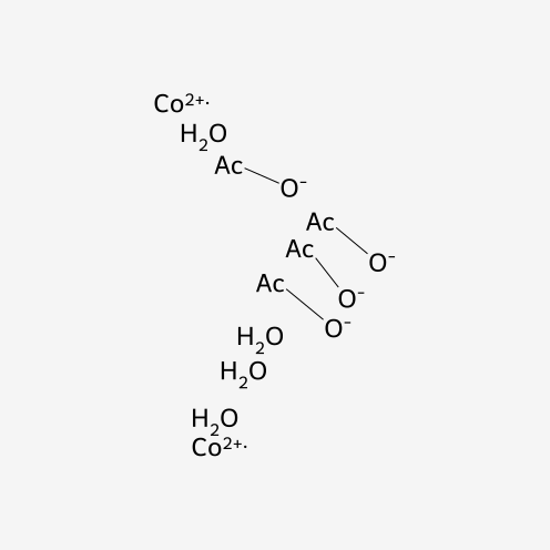 CC(=O)[O-].CC(=O)[O-].CC(=O)[O-].CC(=O)[O-].O.O.O.O.[Co+2].[Co+2]